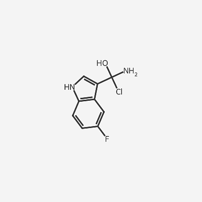 NC(O)(Cl)c1c[nH]c2ccc(F)cc12